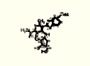 CCOc1ccc2nc(-c3c(C)nc(N(C)C)nc3N[C@@H]3C[C@H](CO)[C@@H](O)[C@H]3O)sc2c1